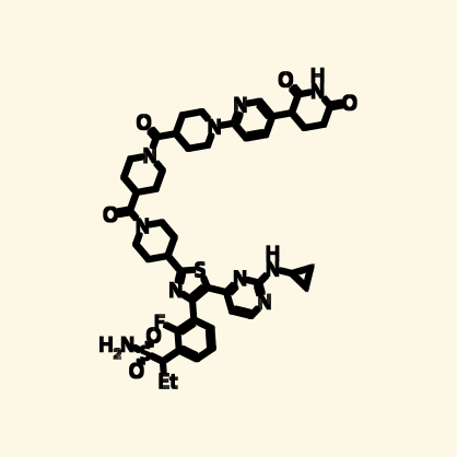 CCC(c1cccc(-c2nc(C3CCN(C(=O)C4CCN(C(=O)C5CCN(c6ccc(C7CCC(=O)NC7=O)cn6)CC5)CC4)CC3)sc2-c2ccnc(NC3CC3)n2)c1F)S(N)(=O)=O